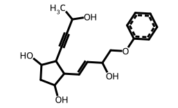 CC(O)C#CC1C(O)CC(O)C1C=CC(O)COc1ccccc1